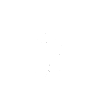 Cc1cc(C2CCN([C@@H]3COC4(C3)CN(C(=O)OC(C)(C)C)C4)CC2)c(OCc2ccccc2)c(C)c1C